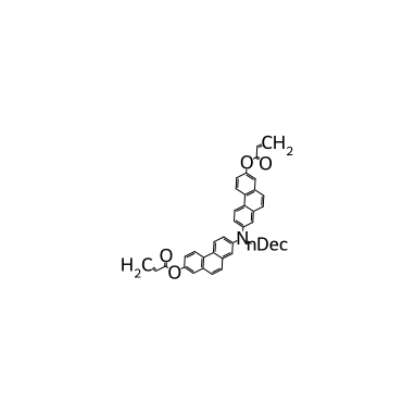 C=CC(=O)Oc1ccc2c(ccc3cc(N(CCCCCCCCCC)c4ccc5c(ccc6cc(OC(=O)C=C)ccc65)c4)ccc32)c1